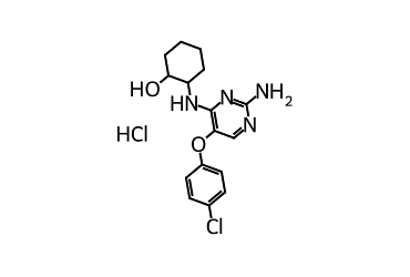 Cl.Nc1ncc(Oc2ccc(Cl)cc2)c(NC2CCCCC2O)n1